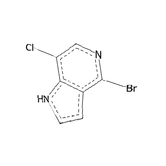 Clc1cnc(Br)c2cc[nH]c12